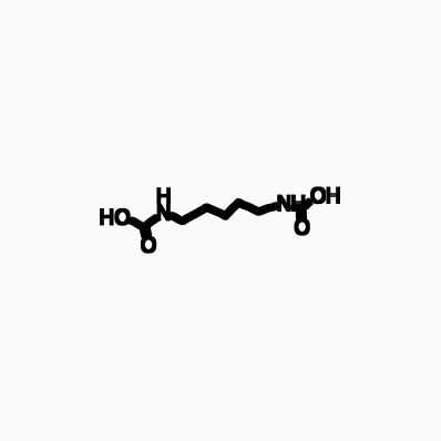 O=C(O)NCCCCCNC(=O)O